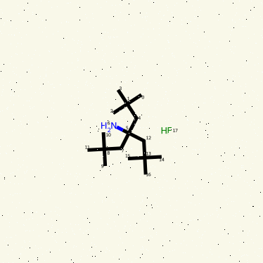 CC(C)(C)CC(N)(CC(C)(C)C)CC(C)(C)C.F